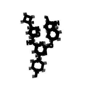 Cc1cc2cc(Oc3nc(Nc4cc(C5CCC5)no4)cc(N4CCN(C)CC4)n3)ccc2[nH]1